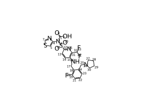 O=C(O)N(c1cscn1)S(=O)(=O)c1ccc(NCc2c(F)cccc2CN2CCCC2)c(C(F)F)n1